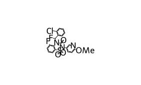 COc1ccc(N2C(=O)N(C(F)c3ccccc3Cl)c3c(F)cccc3S2(=O)=O)cn1